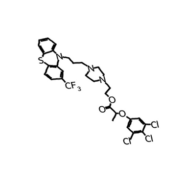 CC(Oc1cc(Cl)c(Cl)c(Cl)c1)C(=O)OCCN1CCN(CCCN2c3ccccc3Sc3ccc(C(F)(F)F)cc32)CC1